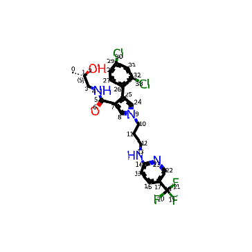 C[C@H](O)CNC(=O)c1cn(CCCNc2ccc(C(F)(F)F)cn2)cc1-c1ccc(Cl)cc1Cl